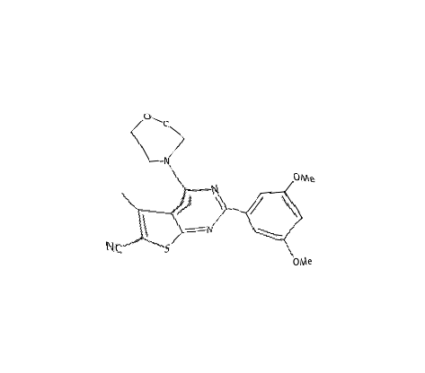 COc1cc(OC)cc(-c2nc(N3CCOCC3)c3c(C)c(C#N)sc3n2)c1